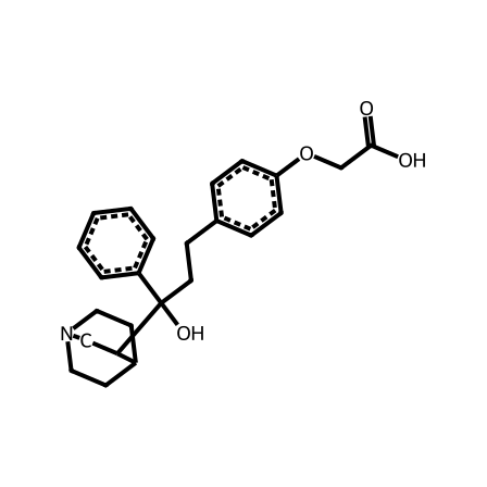 O=C(O)COc1ccc(CCC(O)(c2ccccc2)C2CN3CCC2CC3)cc1